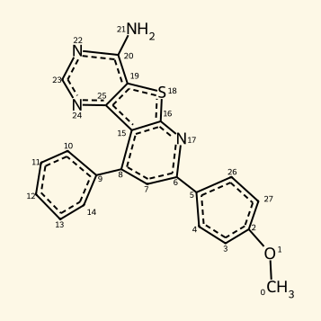 COc1ccc(-c2cc(-c3ccccc3)c3c(n2)sc2c(N)ncnc23)cc1